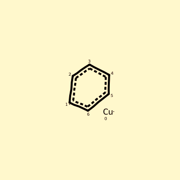 [Cu].[c]1ccccc1